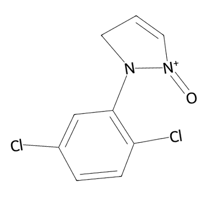 O=[N+]1C=CCN1c1cc(Cl)ccc1Cl